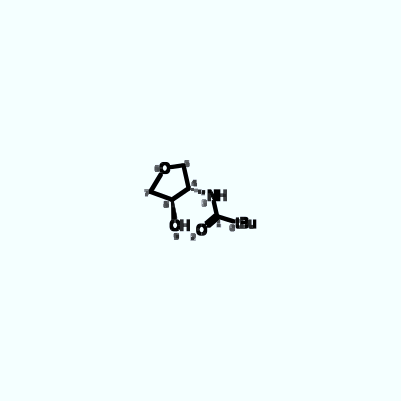 CC(C)(C)C(=O)N[C@H]1COC[C@@H]1O